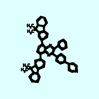 CC1(C)c2ccccc2-c2ccc(-c3ccc(-c4ccc5c(c4)C(C)(C)C4C=CC=CC54)c4nc(-c5ccccc5)c(-c5ccc(-c6ccncc6)cc5)nc34)cc21